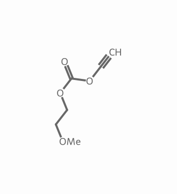 C#COC(=O)OCCOC